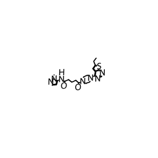 CCc1cc2c(N3CCN(C(=O)CCCC(=O)Nc4ccnn4C)CC3)ncnc2s1